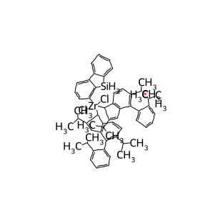 CC(C)C1=Cc2c(ccc(C(C)C)c2-c2ccccc2C(C)C)[CH]1[Zr]([Cl])([Cl])([c]1cccc2c1[SiH2]c1ccccc1-2)[CH]1C(C(C)C)=Cc2c1ccc(C(C)C)c2-c1ccccc1C(C)C